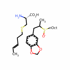 C/C=C/CCSC[C@H](N)C(=O)O.CCCCCCCC[S+]([O-])C(C)Cc1ccc2c(c1)OCO2